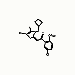 COc1ccc(Cl)cc1C(=O)C=C1SC(Br)=C(C)N1CC1CCC1